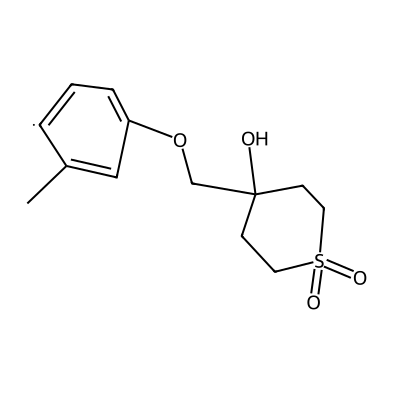 Cc1[c]ccc(OCC2(O)CCS(=O)(=O)CC2)c1